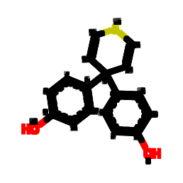 Oc1ccc(C2(c3ccc(O)cc3)C=CSC=C2)cc1